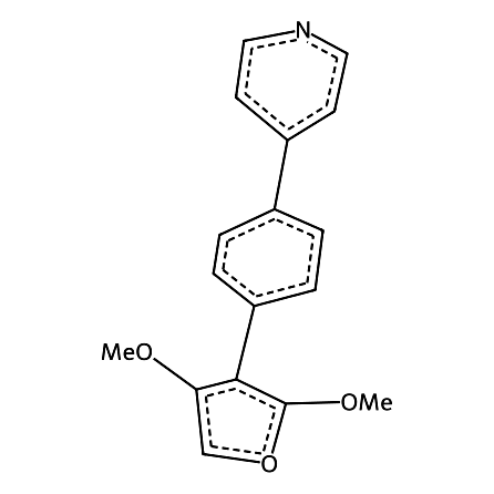 COc1coc(OC)c1-c1ccc(-c2ccncc2)cc1